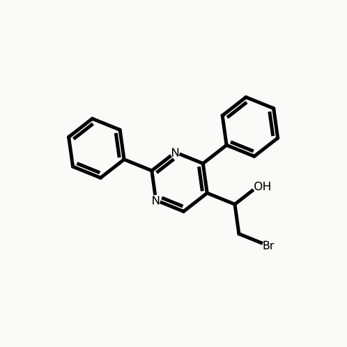 OC(CBr)c1cnc(-c2ccccc2)nc1-c1ccccc1